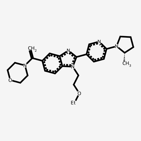 C=C(c1ccc2c(c1)nc(-c1ccc(N3CCC[C@@H]3C)nc1)n2CCOCC)N1CCOCC1